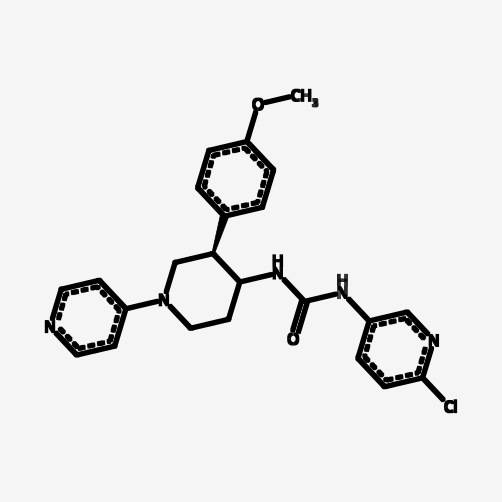 COc1ccc([C@@H]2CN(c3ccncc3)CCC2NC(=O)Nc2ccc(Cl)nc2)cc1